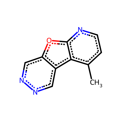 Cc1ccnc2oc3cnncc3c12